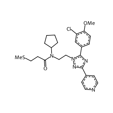 COc1ccc(-c2nc(-c3ccncc3)nn2CCN(C(=O)CCSC)C2CCCC2)cc1Cl